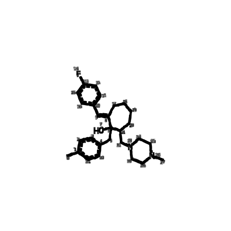 Cc1ccc(CC2(O)C(=Cc3ccc(F)cc3)CCCCC2CN2CCN(C)CC2)cc1